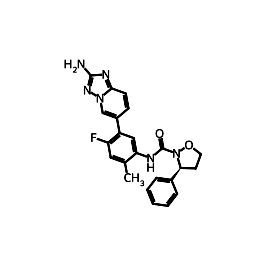 Cc1cc(F)c(-c2ccc3nc(N)nn3c2)cc1NC(=O)N1OCC[C@H]1c1ccccc1